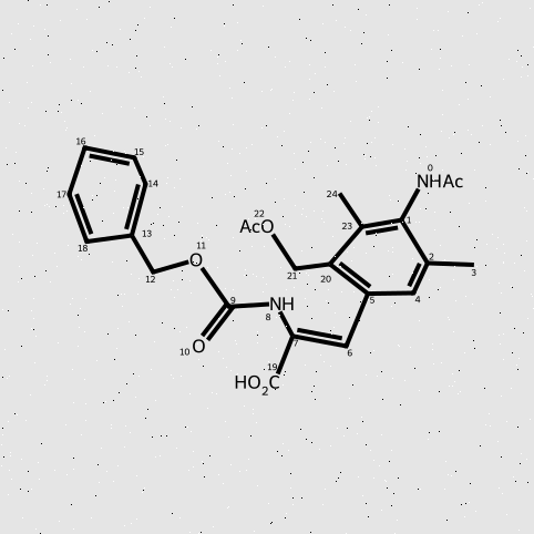 CC(=O)Nc1c(C)cc(/C=C(\NC(=O)OCc2ccccc2)C(=O)O)c(COC(C)=O)c1C